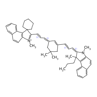 CCCC1(C)/C(=C\C=C\C2=CC(=C/C=C/C3=[N+](C)c4ccc5ccccc5c4C34CCCCC4)/CC(C)(C)C2)N(C)c2ccc3ccccc3c21